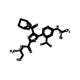 CC[C@H](Nc1cc(C(F)F)c(-c2sc(C(=O)N[C@H](C)CO)nc2C(=O)N2C3CCC2CC3)cn1)C(F)(F)F